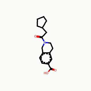 O=C(O)c1ccc2c(c1)CCN(C(=O)CC1CCCC1)C2